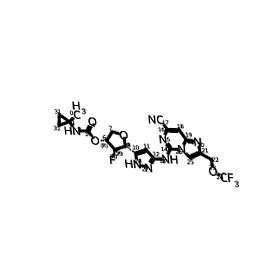 CC1(NC(=O)O[C@@H]2CO[C@H](c3cc(Nc4nc(C#N)cc5nc(COC(F)(F)F)cn45)n[nH]3)[C@H]2F)CC1